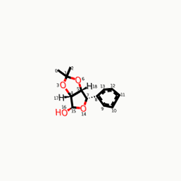 CC1(C)O[C@@H]2[C@H](O1)[C@H](c1ccccc1)O[C@H]2O